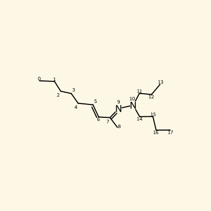 CCCCC/C=C/C(C)=NN(CCC)CCCC